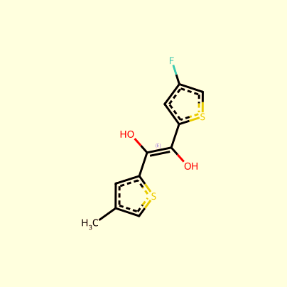 Cc1csc(/C(O)=C(\O)c2cc(F)cs2)c1